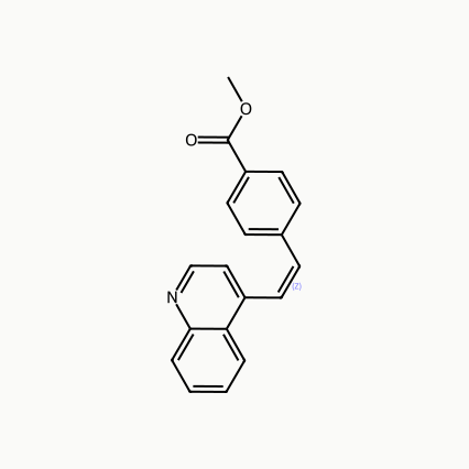 COC(=O)c1ccc(/C=C\c2ccnc3ccccc23)cc1